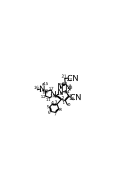 Cc1c(-c2ccccc2)c(N2CC[C@H](N(C)C)C2)n2nc(CC#N)nc2c1C#N